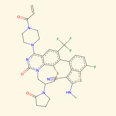 C=CC(=O)N1CCN(c2nc(=O)n3c4c(c(-c5ccc(F)c6sc(NC)c(C#N)c56)c(C(F)(F)F)cc24)SCC(N2CCCC2=O)C3)CC1